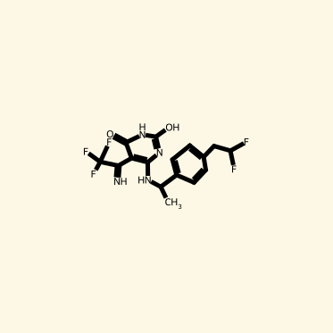 CC(Nc1nc(O)[nH]c(=O)c1C(=N)C(F)(F)F)c1ccc(CC(F)F)cc1